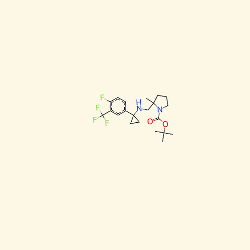 CC(C)(C)OC(=O)N1CCCC1(C)CNC1(c2ccc(F)c(C(F)(F)F)c2)CC1